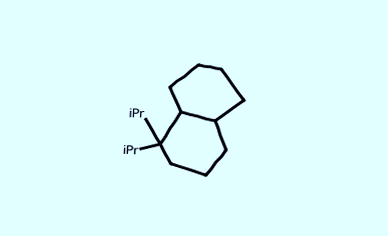 CC(C)C1(C(C)C)CCCC2CCCCC21